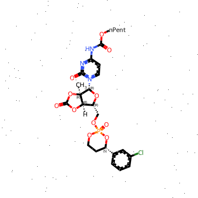 CCCCCOC(=O)Nc1ccn([C@@H]2O[C@H](COP3(=O)OCC[C@@H](c4cccc(Cl)c4)O3)[C@H]3OC(=O)O[C@]32C)c(=O)n1